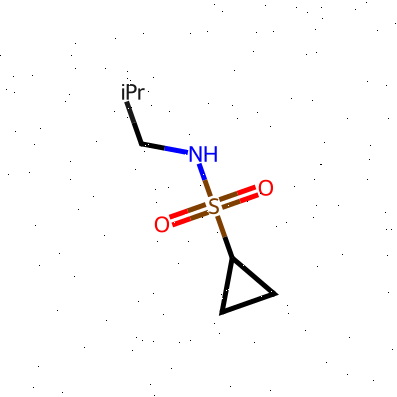 CC(C)CNS(=O)(=O)C1CC1